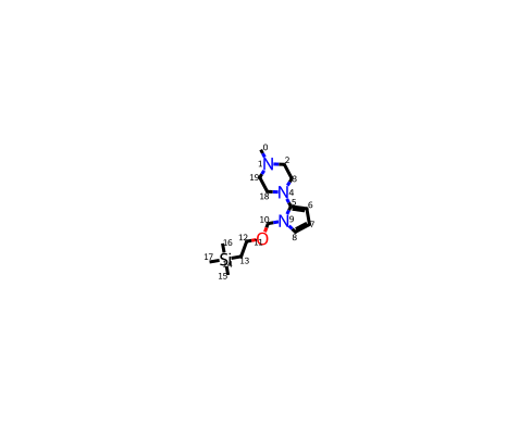 CN1CCN(c2cccn2COCC[Si](C)(C)C)CC1